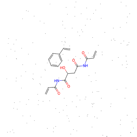 C=CC(=O)NC(=O)CC(O)C(=O)NC(=O)C=C.C=Cc1ccccc1